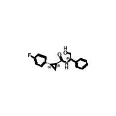 O=C(N[C@@H](CO)c1ccccc1)[C@H]1C[C@@H]1c1ccc(F)cc1